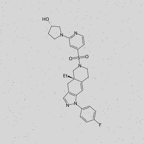 CC[C@]12Cc3cnn(-c4ccc(F)cc4)c3C=C1CCN(S(=O)(=O)c1ccnc(N3CC[C@H](O)C3)c1)C2